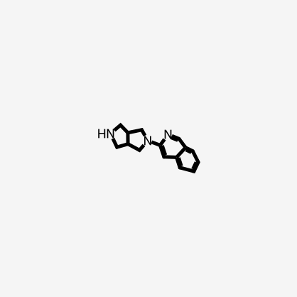 c1ccc2cc(N3CC4CNCC4C3)ncc2c1